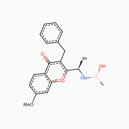 COc1ccc2c(=O)c(Cc3ccccc3)c([C@H](NB(C)O)C(C)C)oc2c1